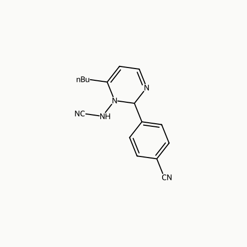 CCCCC1=CC=NC(c2ccc(C#N)cc2)N1NC#N